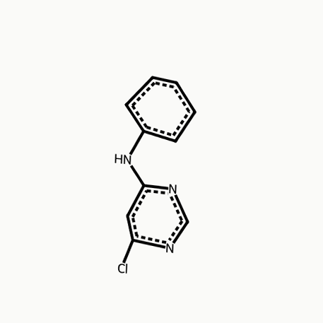 Clc1cc(Nc2ccccc2)ncn1